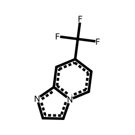 FC(F)(F)c1ccn2ccnc2c1